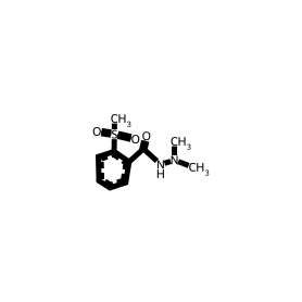 CN(C)NC(=O)c1ccccc1S(C)(=O)=O